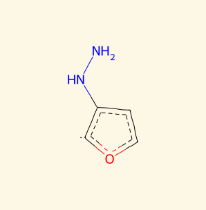 NNc1[c]occ1